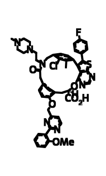 COc1ccccc1-c1nccc(COc2ccc3cc2C[C@H](C(=O)O)Oc2ncnc4sc(-c5ccc(F)cc5)c(c24)-c2ccc(c(Cl)c2C)CN(CCN2CCN(C)CC2)C(=O)C3)n1